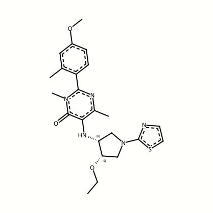 CCO[C@H]1CN(c2nccs2)C[C@H]1Nc1c(C)nc(-c2ccc(OC)cc2C)n(C)c1=O